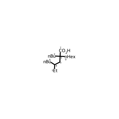 CCCCCCC(CCCC)(CC(CC)CCCC)C(=O)O